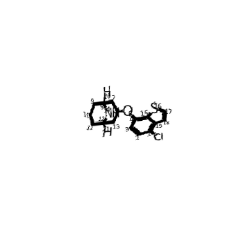 Clc1ccc(O[C@@H]2C[C@H]3CCC[C@@H](C2)N3)c2sccc12